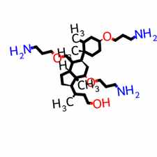 CC1C[C@H](OCCCN)CC[C@]1(C)[C@H]1C[C@H](OCCCN)C2(C)[C@@H]([C@H](C)CCO)CC[C@H]2C1COCCCN